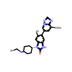 COc1cc(-c2cc3[nH]c(=O)n([C@H]4CC[C@H](NCC(C)C)CC4)c3cc2C(C)C)cn2ncnc12